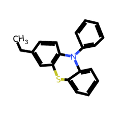 CCc1ccc2c(c1)Sc1ccccc1N2c1ccccc1